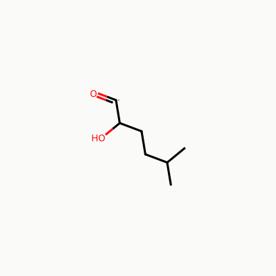 CC(C)CCC(O)[C]=O